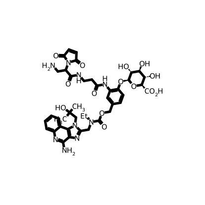 CCN(Cc1nc2c(N)nc3ccccc3c2n1CC(C)(C)O)C(=O)OCc1ccc(O[C@@H]2O[C@H](C(=O)O)[C@@H](O)[C@H](O)[C@H]2O)c(NC(=O)CCNC(=O)C(CN)N2C(=O)C=CC2=O)c1